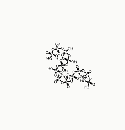 O=P(O)(O)OP(=O)(O)OP(=O)(O)OP(=O)(O)OP(=O)(O)OP(=O)(O)OP(=O)(O)OP(=O)(O)OP(=O)(O)OP(=O)(O)OP(=O)(O)OP(=O)(O)O